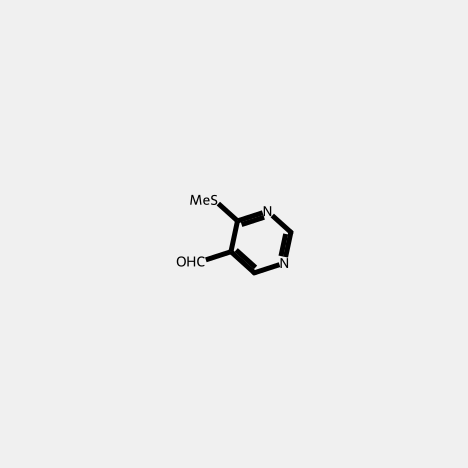 CSc1ncncc1C=O